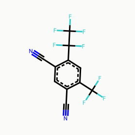 N#Cc1cc(C#N)c(C(F)(F)C(F)(F)F)cc1C(F)(F)F